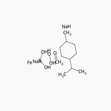 C=O.CC1CCC(C(C)C)CC1.OO.OSO.[Fe].[NaH].[NaH]